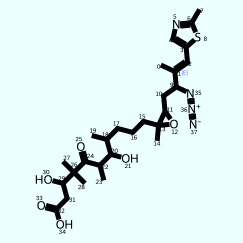 C/C(=C\c1cnc(C)s1)C(CC1OC1(C)CCCC(C)C(O)C(C)C(=O)C(C)(C)C(O)CC(=O)O)N=[N+]=[N-]